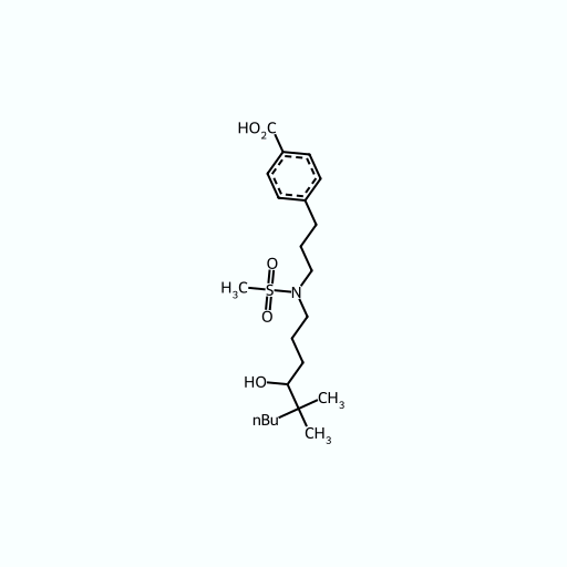 CCCCC(C)(C)C(O)CCCN(CCCc1ccc(C(=O)O)cc1)S(C)(=O)=O